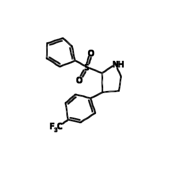 O=S(=O)(c1ccccc1)C1NCCC1c1ccc(C(F)(F)F)cc1